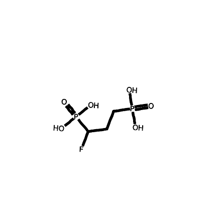 O=P(O)(O)CCC(F)P(=O)(O)O